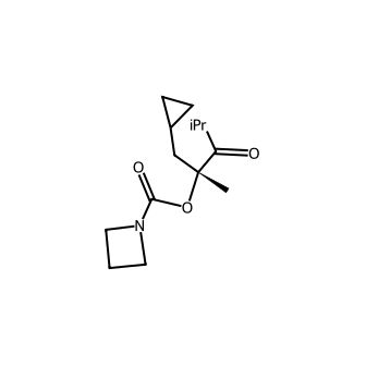 CC(C)C(=O)[C@@](C)(CC1CC1)OC(=O)N1CCC1